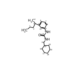 CCCC(C)c1cccc(NC(=O)NCC2CCCCC2)c1